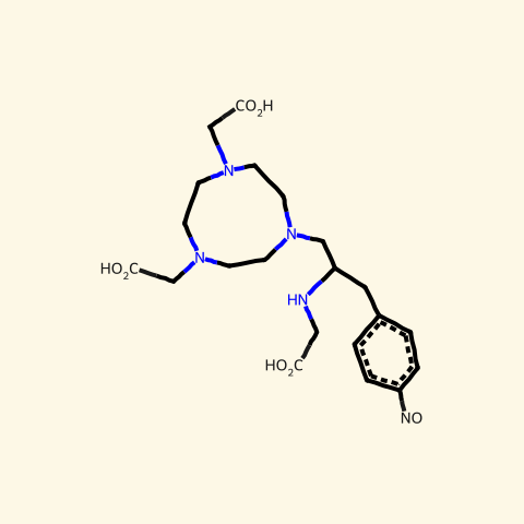 O=Nc1ccc(CC(CN2CCN(CC(=O)O)CCN(CC(=O)O)CC2)NCC(=O)O)cc1